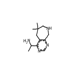 CC(N)c1ncnc2c1CC(C)(C)CNC2